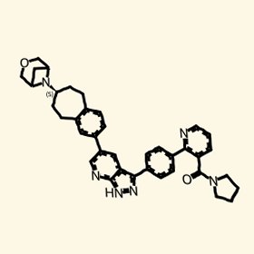 O=C(c1cccnc1-c1ccc(-c2n[nH]c3ncc(-c4ccc5c(c4)CC[C@@H](N4C6COCC4C6)CC5)cc23)cc1)N1CCCC1